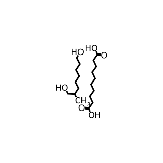 CC(CO)CCCCCCO.O=C(O)CCCCCCCCC(=O)O